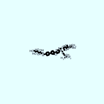 CC(C)(C)[Si](C)(C)OC1CO[C@H]2[C@@H]1OC[C@H]2Oc1nc2nc(-c3ccc(-c4ccc(CNC[C@H](O)[C@@H](O)[C@H](O)[C@H](O)CO)cc4)cc3)c(Cl)cc2n1COCC[Si](C)(C)C